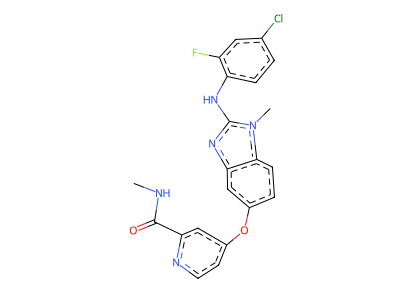 CNC(=O)c1cc(Oc2ccc3c(c2)nc(Nc2ccc(Cl)cc2F)n3C)ccn1